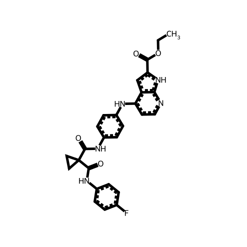 CCOC(=O)c1cc2c(Nc3ccc(NC(=O)C4(C(=O)Nc5ccc(F)cc5)CC4)cc3)ccnc2[nH]1